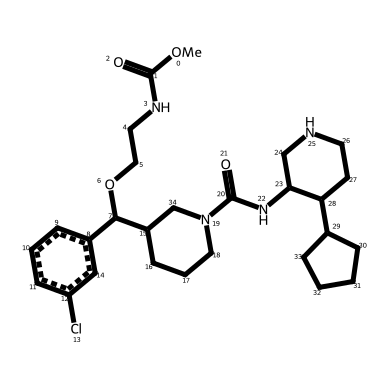 COC(=O)NCCOC(c1cccc(Cl)c1)C1CCCN(C(=O)NC2CNCCC2C2CCCC2)C1